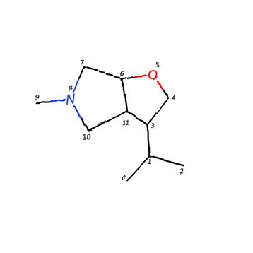 CC(C)C1COC2CN(C)CC21